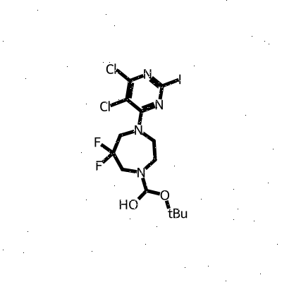 CC(C)(C)OC(O)N1CCN(c2nc(I)nc(Cl)c2Cl)CC(F)(F)C1